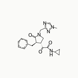 Cn1cnc(CN2C[C@H](C(=O)C(=O)NC3CC3)[C@@H](Cc3ccccc3)C2=O)n1